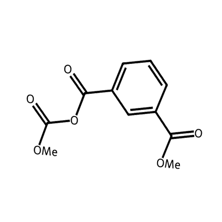 COC(=O)OC(=O)c1cccc(C(=O)OC)c1